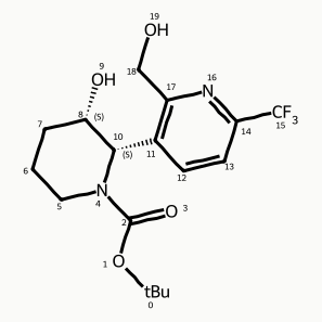 CC(C)(C)OC(=O)N1CCC[C@H](O)[C@@H]1c1ccc(C(F)(F)F)nc1CO